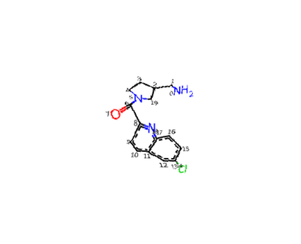 NCC1CCN(C(=O)c2ccc3cc(Cl)ccc3n2)C1